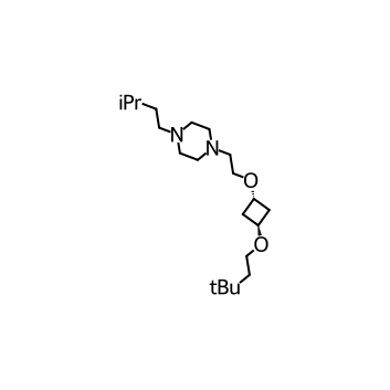 CC(C)CCN1CCN(CCO[C@H]2C[C@H](OCCC(C)(C)C)C2)CC1